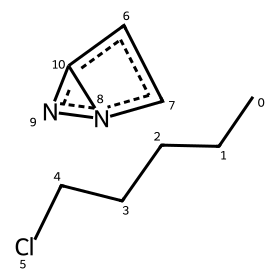 CCCCCCl.c1cn2nc1-2